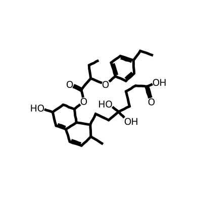 CCc1ccc(OC(CC)C(=O)OC2CC(O)C=C3C=CC(C)C(CCC(O)(O)CCCC(=O)O)C32)cc1